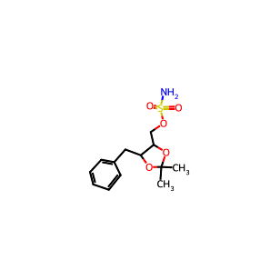 CC1(C)OC(COS(N)(=O)=O)C(Cc2ccccc2)O1